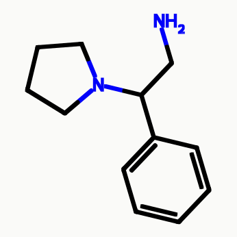 NCC(c1ccccc1)N1CCCC1